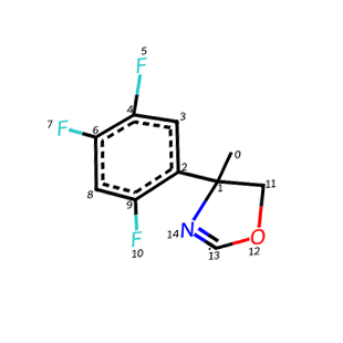 CC1(c2cc(F)c(F)cc2F)CO[C]=N1